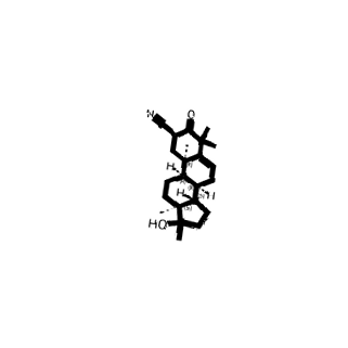 CC1(C)C(=O)C(C#N)C[C@@]2(C)C1=CC[C@@H]1[C@H]2CC[C@@]2(C)[C@H]1CCC2(C)O